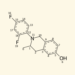 CC1Cc2cc(O)ccc2CN1c1ccc(F)cc1F